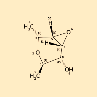 C[C@H]1O[C@H](C)[C@@H]2O[C@@H]2[C@@H]1O